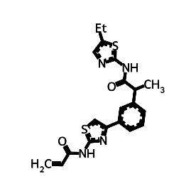 C=CC(=O)Nc1nc(-c2cccc(C(C)C(=O)Nc3ncc(CC)s3)c2)cs1